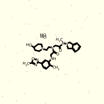 Cc1nc(-c2ccc(C)c(NCC(=O)N(CCN3CCC(O)CC3)CC(=O)N(C)N3Cc4ccccc4C3)c2)no1.Cl.Cl